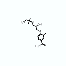 Cc1cc(C(N)=O)ccc1OCC(O)CNC(C)(C)CN